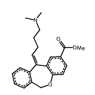 COC(=O)c1ccc2c(c1)C(=CCCCN(C)C)c1ccccc1CO2